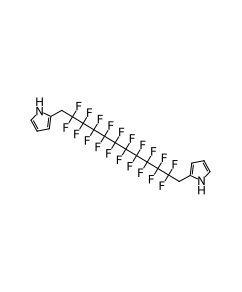 FC(F)(Cc1ccc[nH]1)C(F)(F)C(F)(F)C(F)(F)C(F)(F)C(F)(F)C(F)(F)C(F)(F)C(F)(F)C(F)(F)Cc1ccc[nH]1